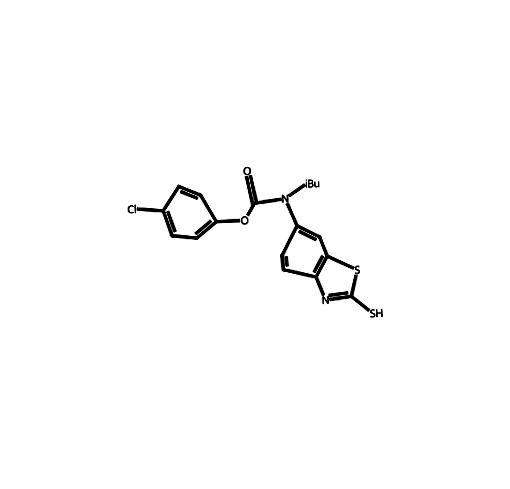 CCC(C)N(C(=O)Oc1ccc(Cl)cc1)c1ccc2nc(S)sc2c1